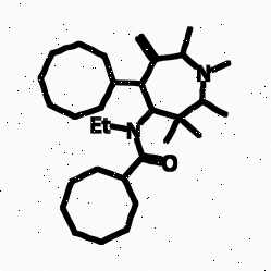 C=C1C(C2CCCCCCC2)C(N(CC)C(=O)C2CCCCCCC2)C(C)(C)C(C)N(C)C1C